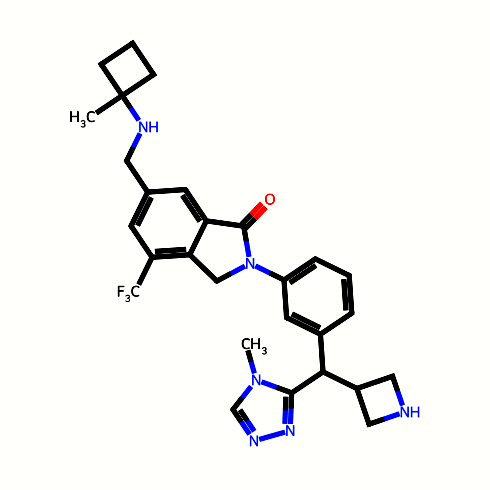 Cn1cnnc1C(c1cccc(N2Cc3c(cc(CNC4(C)CCC4)cc3C(F)(F)F)C2=O)c1)C1CNC1